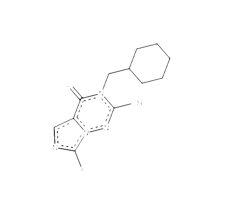 Cc1nn2c(I)ncc2c(=O)n1CC1CCCCC1